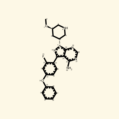 CO[C@H]1CNC[C@H](n2nc(-c3ccc(Oc4ccccc4)cc3F)c3c(N)ncnc32)C1